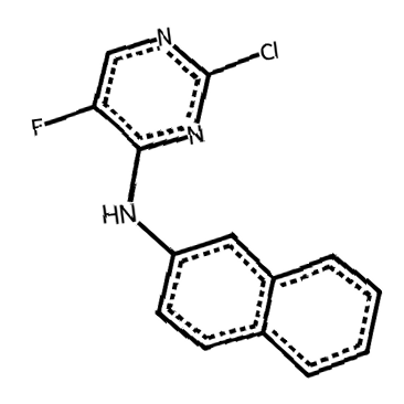 Fc1cnc(Cl)nc1Nc1ccc2ccccc2c1